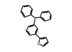 c1ccc(N(c2ccccc2)c2cccc(-c3ccco3)c2)cc1